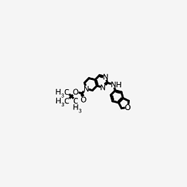 CC(C)(C)OC(=O)N1CCc2cnc(Nc3ccc4c(c3)COC4)nc2C1